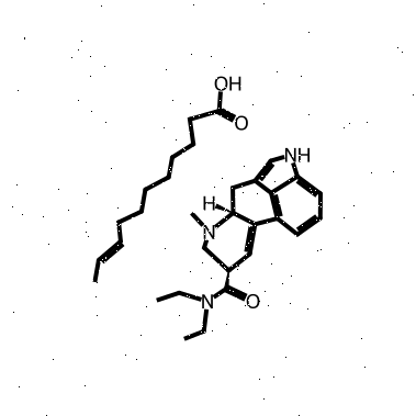 C/C=C/CCCCCCCC(=O)O.CCN(CC)C(=O)[C@@H]1C=C2c3cccc4[nH]cc(c34)C[C@H]2N(C)C1